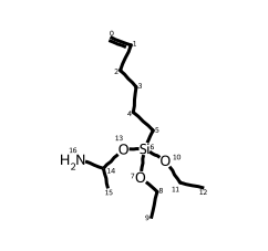 C=CCCCC[Si](OCC)(OCC)OC(C)N